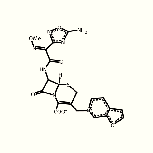 CON=C(C(=O)NC1C(=O)N2C(C(=O)[O-])=C(C[n+]3ccc4ccoc4c3)CS[C@@H]12)c1noc(N)n1